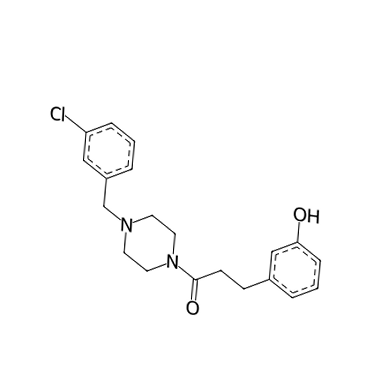 O=C(CCc1cccc(O)c1)N1CCN(Cc2cccc(Cl)c2)CC1